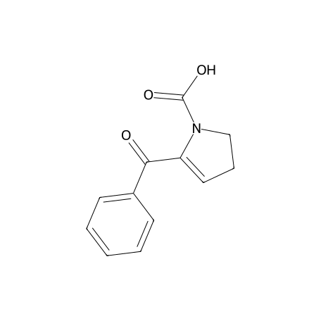 O=C(C1=CCCN1C(=O)O)c1ccccc1